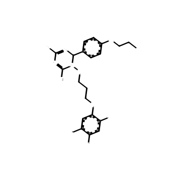 CCCOc1ccc(C2N=C(N)N=C(N)N2OCCCOc2cc(Cl)c(Cl)cc2Cl)cc1